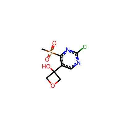 CS(=O)(=O)c1nc(Cl)ncc1C1(O)COC1